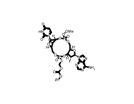 COOP1(=O)OC[C@H]2O[C@@H](n3cnc4c(N)ncnc43)[C@H](F)[C@@H]2OP(=O)(SCOC(=O)OC(C)C)OC[C@H]2O[C@@H](n3ccc(=O)[nH]c3=O)[C@H](O1)[C@@H]2F